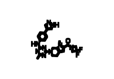 Cc1nc(Nc2ccc(-c3cn[nH]c3)cc2)nc(N2CCc3cc(C(=O)N4CC(F)(F)C4)n(C)c3C2)n1